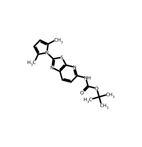 Cc1ccc(C)n1-c1nc2ccc(NC(=O)OC(C)(C)C)nc2s1